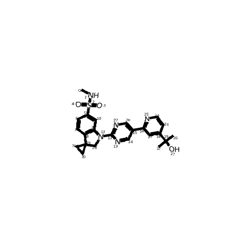 CNS(=O)(=O)c1ccc2c(c1)N(c1ncc(-c3cc(C(C)(C)O)ccn3)cn1)CC21CC1